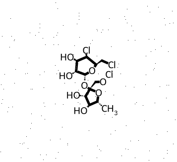 C[C@H]1O[C@@](COCl)(O[C@H]2O[C@H](CCl)[C@H](Cl)[C@H](O)[C@H]2O)[C@@H](O)[C@@H]1O